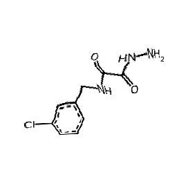 NNC(=O)C(=O)NCc1cccc(Cl)c1